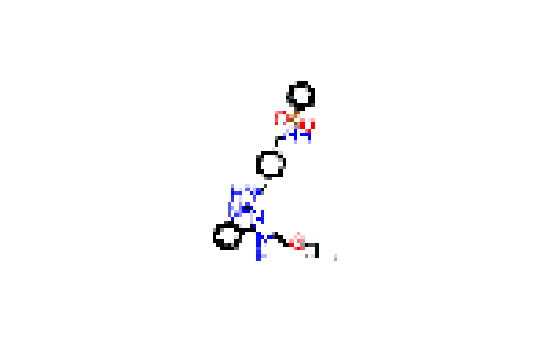 COCCNc1nc(NC[C@H]2CC[C@H](CNS(=O)(=O)c3ccccc3)CC2)nc2ccccc12